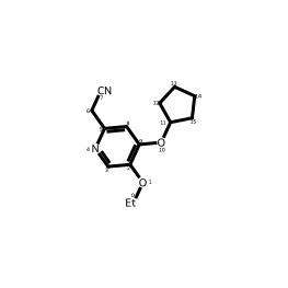 CCOc1cnc(CC#N)cc1OC1CCCC1